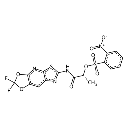 C[C@@H](OS(=O)(=O)c1ccccc1[N+](=O)[O-])C(=O)Nc1nc2cc3c(nc2s1)OC(F)(F)O3